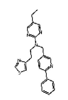 CCc1cnc(N(CCc2cs[c]n2)Cc2ccc(-c3ccccc3)nc2)nc1